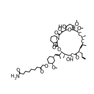 C=CC[C@@H]1/C=C(\C)C[C@H](C)C[C@H](OC)[C@H]2O[C@@](O)(C(=O)C(=O)N3CCCC[C@H]3C(=O)O[C@H](/C(C)=C/[C@@H]3CC[C@@H](OCC(=O)CCCCCCC(N)=O)[C@H](OC)C3)[C@H](C)[C@@H](O)CC1=O)[C@H](C)C[C@@H]2OC